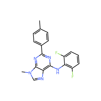 Cc1ccc(-c2nc(Nc3c(F)cccc3F)c3ncn(C)c3n2)cc1